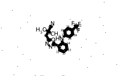 CC(C)(C#N)Cc1nnc(-c2ccccc2Nc2ccc(C(F)(F)F)cc2)o1